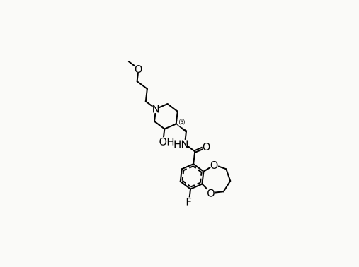 COCCCN1CC[C@@H](CNC(=O)c2ccc(F)c3c2OCCCO3)C(O)C1